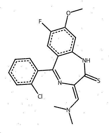 COc1cc2c(cc1F)C(c1ccccc1Cl)=N/C(=C\N(C)C)C(=S)N2